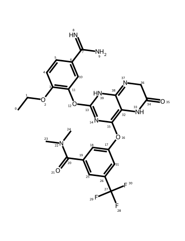 CCOc1ccc(C(=N)N)cc1OC1=NC(Oc2cc(C(=O)N(C)C)cc(C(F)(F)F)c2)=C2NC(=O)CN=C2N1